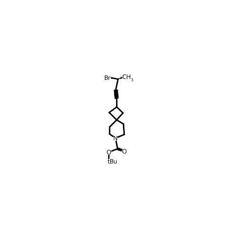 C[C@H](Br)C#CC1CC2(CCN(C(=O)OC(C)(C)C)CC2)C1